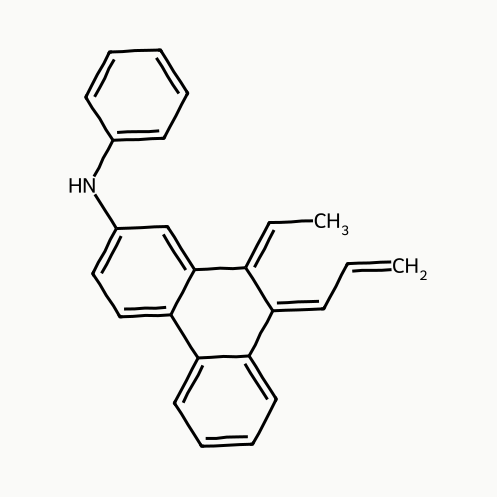 C=C/C=c1\c(=C/C)c2cc(Nc3ccccc3)ccc2c2ccccc12